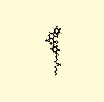 CCCCNCCCOc1ccc(NC(=O)C2=C(O)CCn3c2nc2ccccc23)cc1